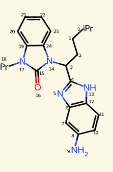 CC(C)CCC(c1nc2cc(N)ccc2[nH]1)n1c(=O)n(C(C)C)c2ccccc21